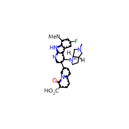 CNc1cc(F)cc2c1[nH]c1ncc(-c3ccc4ccc(C(=O)O)c(=O)n4c3)c(N3CC[C@@H]4CN(C)C[C@@H]43)c12